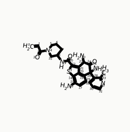 C=CC(=O)N1CCCC(NC(=O)c2sc3c(N)ccc4c3c2C(N)C(=O)C4(N)c2cccnc2C)C1